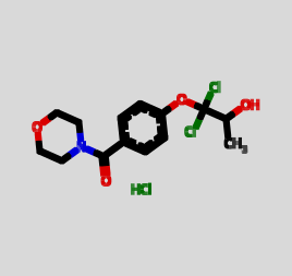 CC(O)C(Cl)(Cl)Oc1ccc(C(=O)N2CCOCC2)cc1.Cl